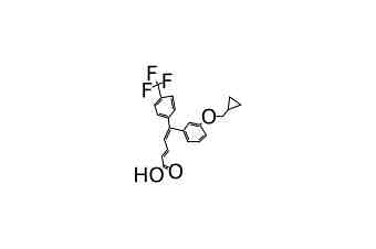 O=C(O)C=CC=C(c1ccc(C(F)(F)F)cc1)c1cccc(OCC2CC2)c1